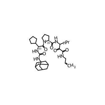 C=CCNC(=O)C(=O)C(CCC)NC(=O)[C@@H]1CCCN1C(=O)[C@@H](NC(=O)NC12CC3CC(CC(C3)C1)C2)C1CCCC1